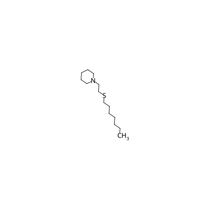 CCCCCCCSCCN1CCCCC1